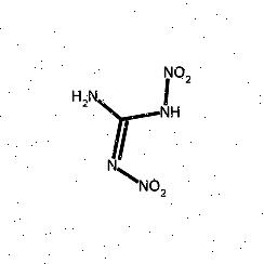 NC(=N[N+](=O)[O-])N[N+](=O)[O-]